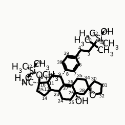 CC(C)(CCc1ccc([C@H]2C[C@@]3(C)C(CC[C@@]3(C#N)O[Si](C)(C)C)C3CC[C@@]4(O)CC5(CCCO5)CCC4=C32)cc1)[Si](C)(C)O